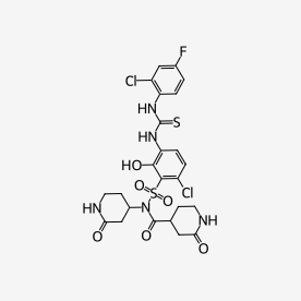 O=C1CC(C(=O)N(C2CCNC(=O)C2)S(=O)(=O)c2c(Cl)ccc(NC(=S)Nc3ccc(F)cc3Cl)c2O)CCN1